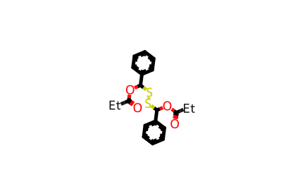 CCC(=O)OC(SSC(OC(=O)CC)c1ccccc1)c1ccccc1